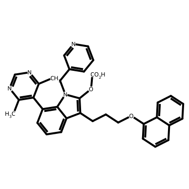 Cc1ncnc(C)c1-c1cccc2c(CCCOc3cccc4ccccc34)c(OC(=O)O)n(Cc3cccnc3)c12